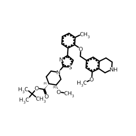 COc1cc(COc2c(C)cccc2-c2csc(N3CC[C@@H](C(=O)OC(C)(C)C)[C@@H](OC)C3)n2)cc2c1CNCC2